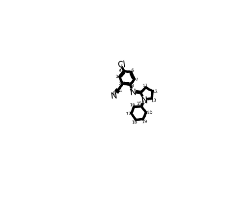 N#Cc1cc(Cl)ccc1N=C1CCCN1C1CCCCC1